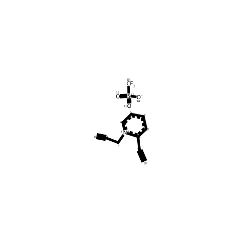 C#CC[n+]1ccccc1C#C.O=S(=O)([O-])C(F)(F)F